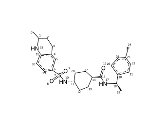 CC1CCc2cc(S(=O)(=O)N[C@H]3CC[C@H](C(=O)N[C@H](C)c4ccc(F)cc4)CC3)ccc2N1